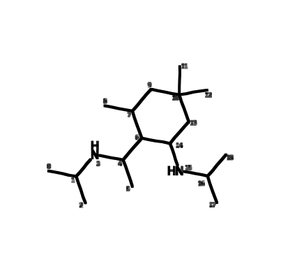 CC(C)NC(C)C1C(C)CC(C)(C)CC1NC(C)C